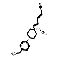 CCc1ccc([C@H]2CC[C@@](C=CC=CC#N)(OC)CC2)cc1